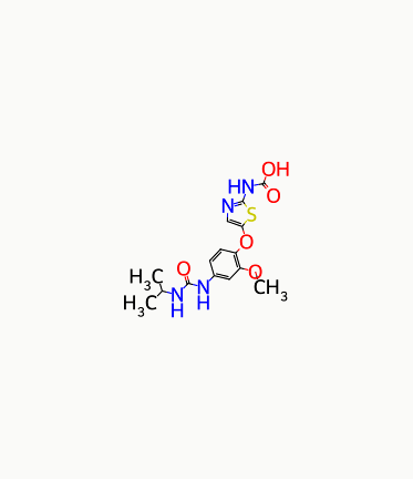 COc1cc(NC(=O)NC(C)C)ccc1Oc1cnc(NC(=O)O)s1